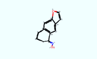 ON=C1CCCc2cc3occc3cc21